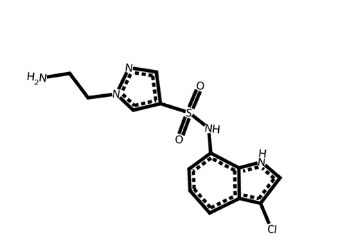 NCCn1cc(S(=O)(=O)Nc2cccc3c(Cl)c[nH]c23)cn1